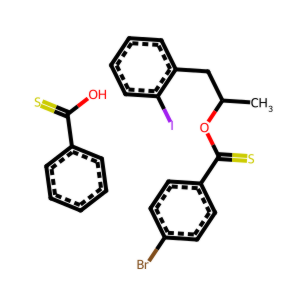 CC(Cc1ccccc1I)OC(=S)c1ccc(Br)cc1.OC(=S)c1ccccc1